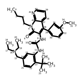 CCCCn1c(=O)c(NC(=O)Nc2cc(CN(CC)CC)ccc2C(C)(C)C)c(-c2cccc(OC)c2)c2cccnc21